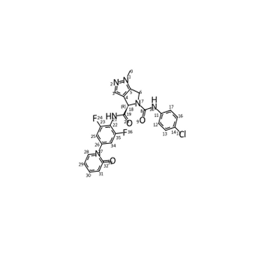 Cn1ncc2c1CN(C(=O)Nc1ccc(Cl)cc1)[C@H]2C(=O)Nc1c(F)cc(-n2ccccc2=O)cc1F